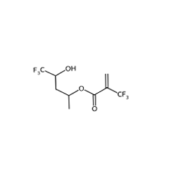 C=C(C(=O)OC(C)CC(O)C(F)(F)F)C(F)(F)F